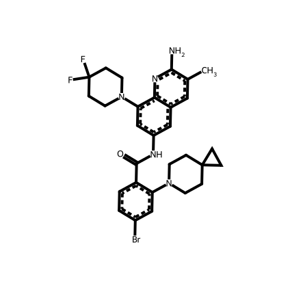 Cc1cc2cc(NC(=O)c3ccc(Br)cc3N3CCC4(CC3)CC4)cc(N3CCC(F)(F)CC3)c2nc1N